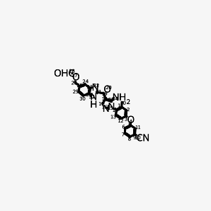 Cc1cc(Oc2cccc(C#N)c2)ccc1-n1ncc(C(=O)c2nc3cc(COC=O)ccc3[nH]2)c1N